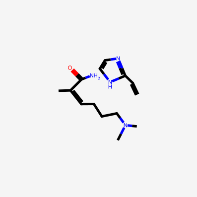 C=Cc1ncc[nH]1.CC(=CCCCN(C)C)C(N)=O